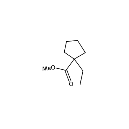 COC(=O)C1(CI)CCCC1